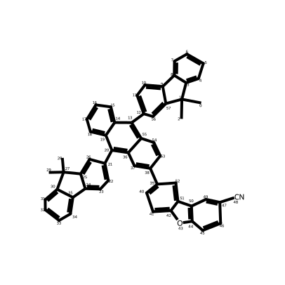 CC1(C)c2ccccc2-c2ccc(-c3c4ccccc4c(-c4ccc5c(c4)C(C)(C)c4ccccc4-5)c4cc(-c5ccc6oc7ccc(C#N)cc7c6c5)ccc34)cc21